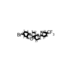 Cc1cc(Br)ccc1N1CC[C@@]2(CCCN(c3ccc(C(F)(F)F)cn3)C2)C1=O